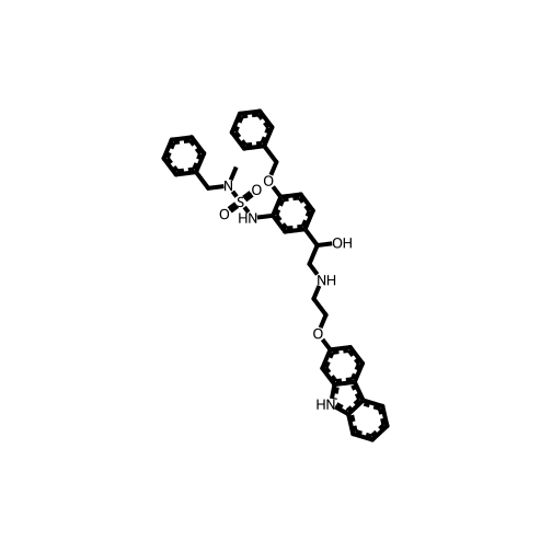 CN(Cc1ccccc1)S(=O)(=O)Nc1cc(C(O)CNCCOc2ccc3c(c2)[nH]c2ccccc23)ccc1OCc1ccccc1